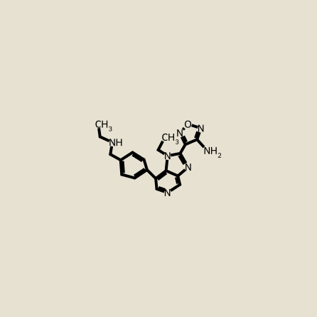 CCNCc1ccc(-c2cncc3nc(-c4nonc4N)n(CC)c23)cc1